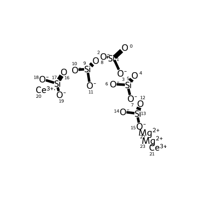 O=[Si]([O-])[O-].O=[Si]([O-])[O-].O=[Si]([O-])[O-].O=[Si]([O-])[O-].O=[Si]([O-])[O-].[Ce+3].[Ce+3].[Mg+2].[Mg+2]